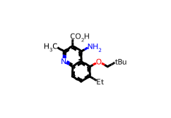 CCc1ccc2nc(C)c(C(=O)O)c(N)c2c1OCC(C)(C)C